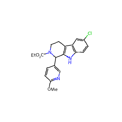 CCOC(=O)N1CCc2c([nH]c3ccc(Cl)cc23)C1c1ccc(OC)nc1